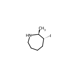 C[C@@H]1NCCCC[C@H]1I